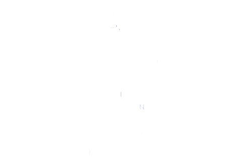 CC1C(COc2ccc3c(c2)NC(=O)CC3)CCCN1CC1(c2ccc(Cl)cc2)CCC1